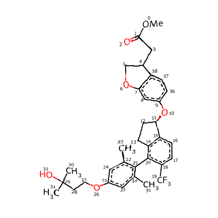 COC(=O)CC1COc2cc(O[C@@H]3CCc4c3ccc(C(F)(F)F)c4-c3c(C)cc(OCCC(C)(C)O)cc3C)ccc21